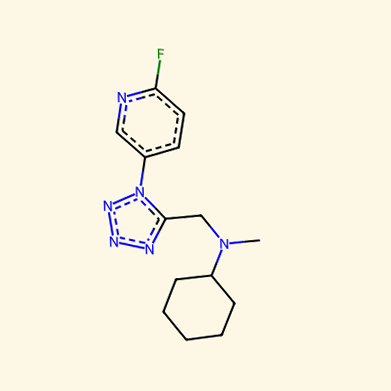 CN(Cc1nnnn1-c1ccc(F)nc1)C1CCCCC1